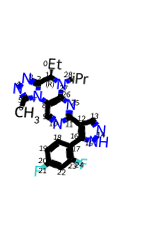 CC[C@@H]1c2nnc(C)n2-c2cnc(-c3cn[nH]c3-c3ccc(F)cc3F)nc2N1C(C)C